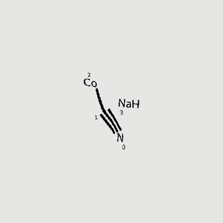 N#[C][Co].[NaH]